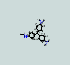 C/C=N/c1ccc(C(=C2C=CC(N(C)C)C=C2)c2ccc(N(C)C)cc2)cc1